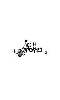 C=CC(=O)Nc1cccc(N2C(=O)N(C3CC3)Cc3cnc(Oc4ccnn4C)nc32)c1